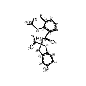 CC(=O)[C@@]1(NC(=O)c2cccc(C)c2CC(C)C)Cc2ccc(F)cc2C1